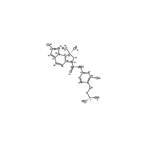 C[C@@H](O)COc1ncc(NC(=O)N2C[C@@](C)(C(F)(F)F)c3c2cnc2cc(Cl)nn32)cc1Cl